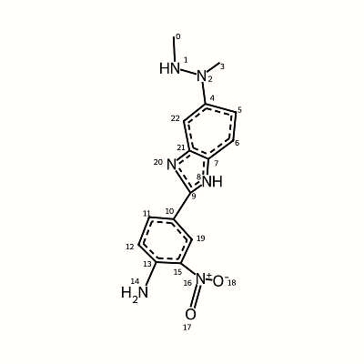 CNN(C)c1ccc2[nH]c(-c3ccc(N)c([N+](=O)[O-])c3)nc2c1